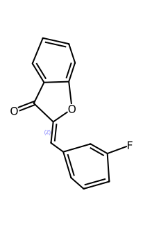 O=C1/C(=C/c2cccc(F)c2)Oc2ccccc21